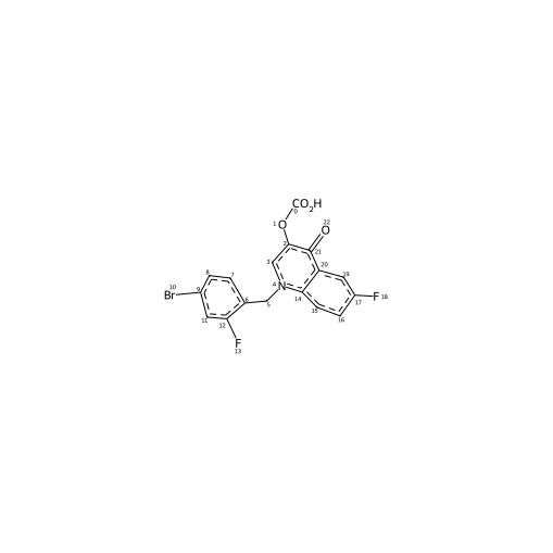 O=C(O)Oc1cn(Cc2ccc(Br)cc2F)c2ccc(F)cc2c1=O